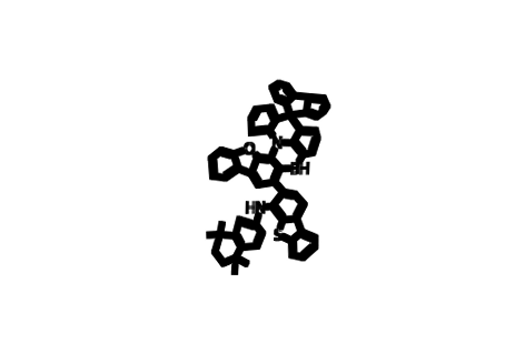 CC1(C)CCC(C)(C)c2cc(Nc3c(-c4cc5c(oc6ccccc65)c5c4Bc4cccc6c4N5c4ccccc4C64c5ccccc5-c5ccccc54)ccc4c3sc3ccccc34)ccc21